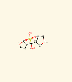 O=S(=O)(O)C(O)(C1CCOC1)C1CCOC1